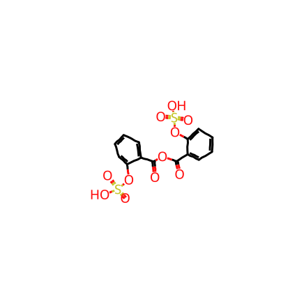 O=C(OC(=O)c1ccccc1OS(=O)(=O)O)c1ccccc1OS(=O)(=O)O